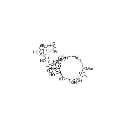 COC1/C=C/C=C/CC/C=C/C=C/C(=O)NC(C(O)C(=O)O)C(=O)OC(C(C)C(O)C(NC(=O)C(C)C(O)CCC(C)C(O)/C(C)=C/C(C)(C)C(O)C(CC(C)C)NC(=O)/C=C/C(C)(C)C(=O)C(C)C(O)C(C)C)C(C)O)C/C=C(\C)C(O)C(C)/C=C(\C)C(O)C(C)C(O)CC2CC(C)CC1O2